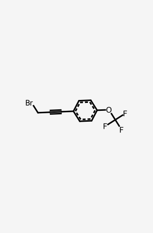 FC(F)(F)Oc1ccc(C#CCBr)cc1